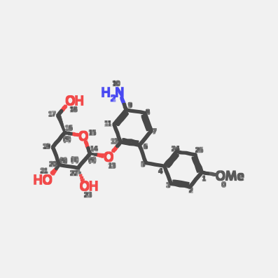 COc1ccc(Cc2ccc(N)cc2O[C@@H]2O[C@H](CO)C[C@H](O)[C@H]2O)cc1